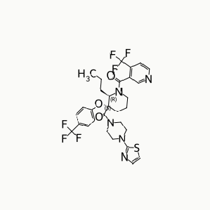 CCC[C@H]1N(C(=O)c2cnccc2C(F)(F)F)CCC[C@@]1(Oc1ccc(C(F)(F)F)cc1)C(=O)N1CCN(c2nccs2)CC1